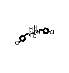 O=C(NN=Cc1ccc(Cl)cc1)NN=Cc1ccc(Cl)cc1